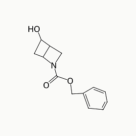 O=C(OCc1ccccc1)N1CC2C(O)CC21